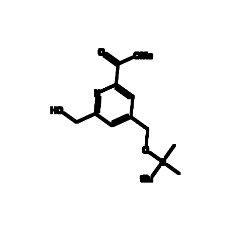 COC(=O)c1cc(CO[Si](C)(C)C(C)(C)C)cc(CO)n1